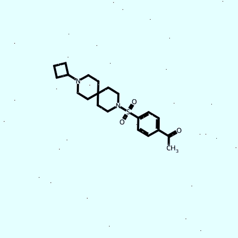 CC(=O)c1ccc(S(=O)(=O)N2CCC3(CCN(C4CCC4)CC3)CC2)cc1